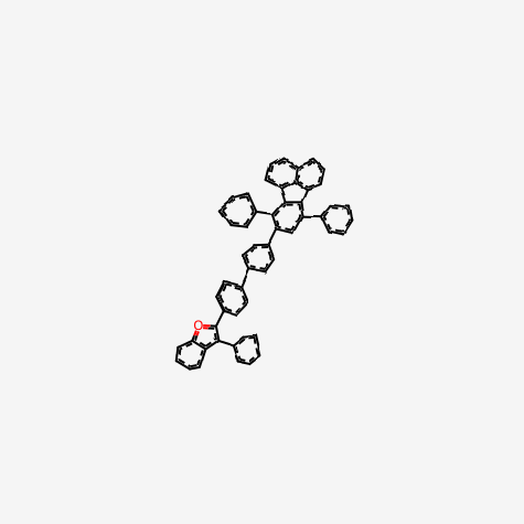 c1ccc(-c2cc(-c3ccc(-c4ccc(-c5oc6ccccc6c5-c5ccccc5)cc4)cc3)c(-c3ccccc3)c3c2-c2cccc4cccc-3c24)cc1